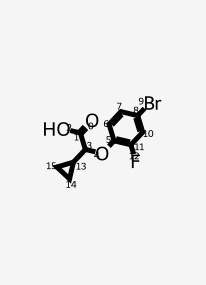 O=C(O)C(Oc1ccc(Br)cc1F)C1CC1